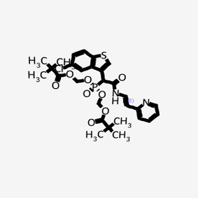 CC(C)(C)C(=O)OCOP(=O)(OCOC(=O)C(C)(C)C)C(C(=O)N/C=C/c1ccccn1)c1csc2ccc(Cl)cc12